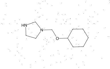 C1CCC(OCN2CCNC2)CC1